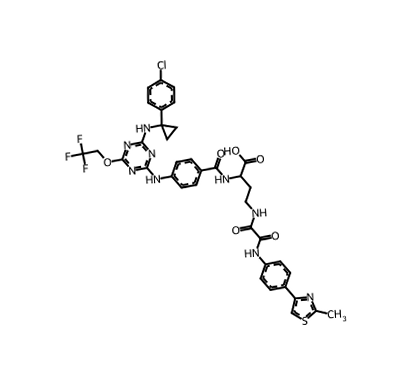 Cc1nc(-c2ccc(NC(=O)C(=O)NCCC(NC(=O)c3ccc(Nc4nc(NC5(c6ccc(Cl)cc6)CC5)nc(OCC(F)(F)F)n4)cc3)C(=O)O)cc2)cs1